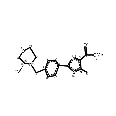 COC(=O)c1nc(-c2ccc(CN3CCOC[C@H]3C)cc2)sc1C